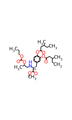 CCCOC(=O)OC(C)CN[C@@H](Cc1ccc(OC(=O)CC(C)CC)c(OC(=O)CC(C)CC)c1)C(=O)OC